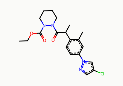 CCOC(=O)N1CCCCN1C(=O)C(C)c1ccc(-n2cc(Cl)cn2)cc1C